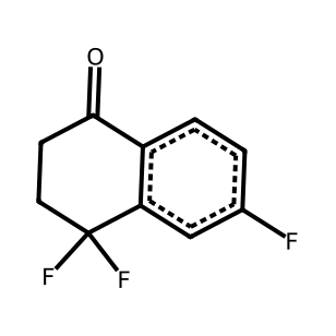 O=C1CCC(F)(F)c2cc(F)ccc21